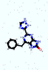 O=c1[nH]c2nc(-c3nc[nH]n3)nc(Cc3ccccc3)c2[nH]1